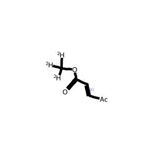 [2H]C([2H])([2H])OC(=O)/C=C/C(C)=O